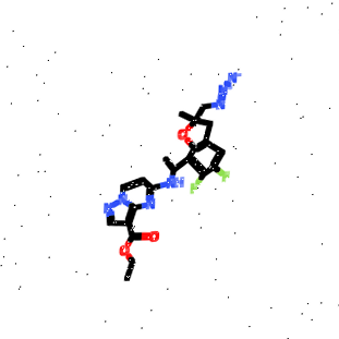 CCOC(=O)c1cnn2ccc(NC(C)c3c(F)c(F)cc4c3OC(C)(CN=[N+]=[N-])C4)nc12